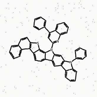 c1ccc(-c2cc(-n3c4cc5c(cc4c4ccc6c(sc7ccc8ccccc8c76)c43)c3ccccc3n5-c3ccccc3)nc3ccccc23)cc1